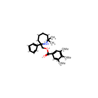 COc1cc(C(=O)OCC2(c3ccccc3)CCCCC(C)(C)N2)cc(OC)c1OC